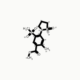 COC(=O)c1cc(S(C)(=O)=O)c(N2CCCS2(=O)=O)cc1C